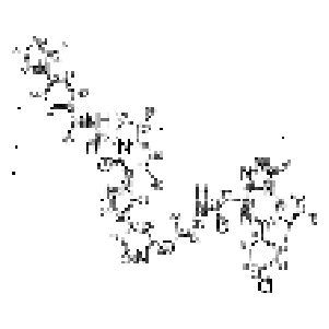 Cc1sc2c(c1C)C(c1ccc(Cl)cc1)=N[C@@H](CC(=O)N[C@H]1C[C@@H](Oc3cc(-c4cnn([C@H](C(=O)N5C[C@H](C)C[C@H]5C(=O)N[C@@H](C)c5ccc(-n6ccnc6C)cc5)C(C)C)c4)ccn3)C1)c1nnc(C)n1-2